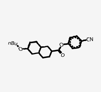 CCCCOC1CCC2CC(C(=O)Oc3ccc(C#N)cc3)CCC2C1